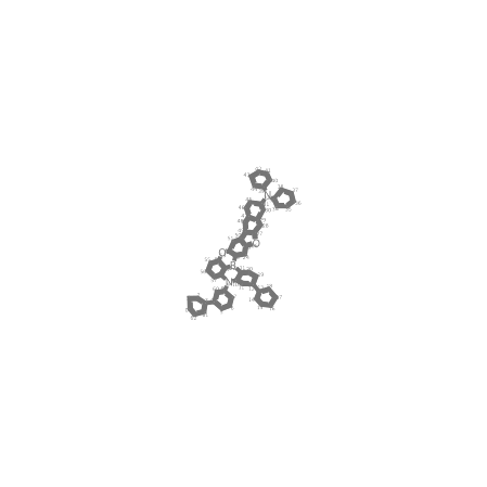 c1ccc(-c2cccc(N3c4cc(-c5ccccc5)ccc4B4c5cc6oc7cc8cc(N(c9ccccc9)c9ccccc9)ccc8cc7c6cc5Oc5cccc3c54)c2)cc1